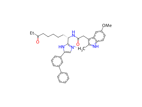 CCC(=O)CCCCC[C@H](NC(=O)Cc1c(C)[nH]c2ccc(OC)cc12)C1=[N+]C=C(c2cccc(-c3ccccc3)c2)N1